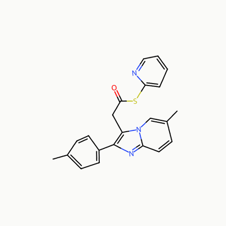 Cc1ccc(-c2nc3ccc(C)cn3c2CC(=O)Sc2ccccn2)cc1